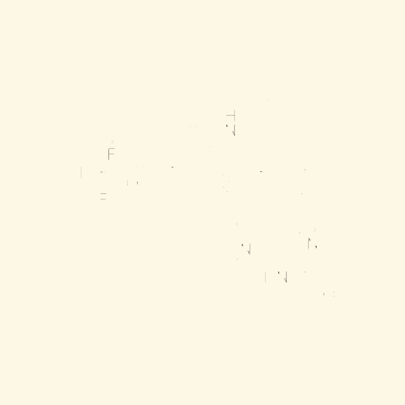 Cc1ccc(Oc2ccnc3[nH]c(=O)[nH]c23)cc1NC(=O)c1cccc(OC(F)(F)F)c1